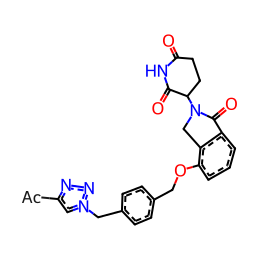 CC(=O)c1cn(Cc2ccc(COc3cccc4c3CN(C3CCC(=O)NC3=O)C4=O)cc2)nn1